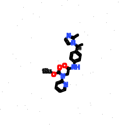 Cc1nccn1[C@@H](C)c1ccc(NC(=O)CN(C(=O)OC(C)(C)C)c2ccccn2)cc1